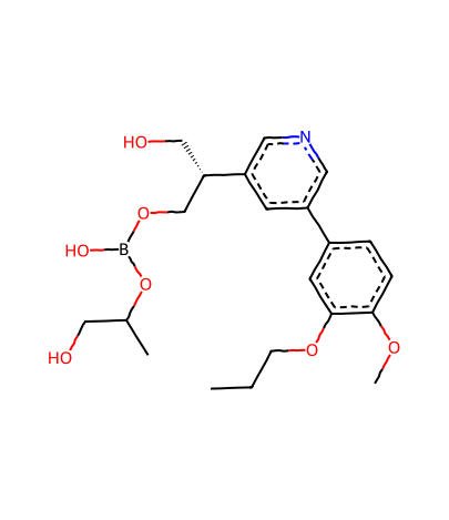 CCCOc1cc(-c2cncc([C@@H](CO)COB(O)OC(C)CO)c2)ccc1OC